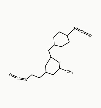 CC1CC(CCN=C=O)CC(CC2CCC(N=C=O)CC2)C1